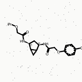 CC(C)OCC(=O)N[C@H]1C[C@@H](NC(=O)COc2ccc(Cl)cc2)C2CC21